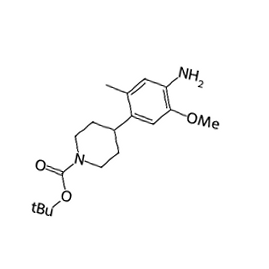 COc1cc(C2CCN(C(=O)OC(C)(C)C)CC2)c(C)cc1N